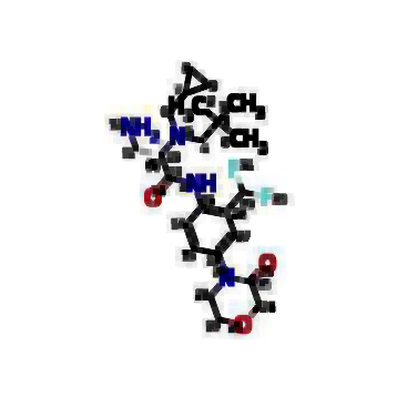 CC(C)(C)CN(CC1CC1)[C@@H](CN)C(=O)Nc1ccc(N2CCOCC2=O)cc1C(F)F